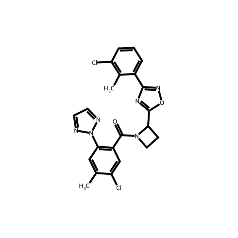 Cc1cc(-n2nccn2)c(C(=O)N2CCC2c2nc(-c3cccc(Cl)c3C)no2)cc1Cl